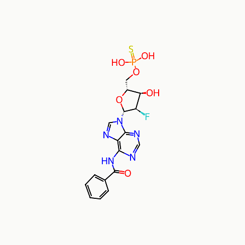 O=C(Nc1ncnc2c1ncn2[C@@H]1O[C@H](COP(O)(O)=S)[C@@H](O)[C@H]1F)c1ccccc1